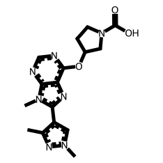 Cc1nn(C)cc1-c1nc2c(OC3CCN(C(=O)O)C3)ncnc2n1C